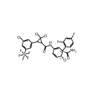 NC(=O)[C@]1(c2ccc(F)cc2F)C=C(NC(=O)C2C(c3cc(Cl)cc(S(F)(F)(F)(F)F)c3)C2(Cl)Cl)C=C[C@@H]1Cl